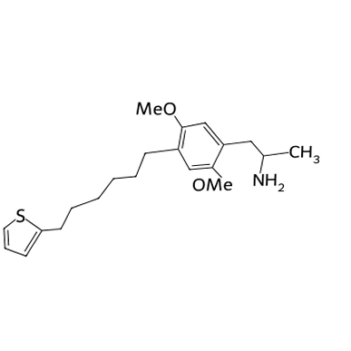 COc1cc(CC(C)N)c(OC)cc1CCCCCCc1cccs1